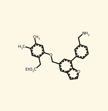 CCOC(=O)Cc1cc(C)c(C)cc1OCc1cc(-c2cccc(CN)c2)c2occc2c1